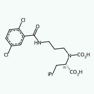 CC(C)C[C@@H](C(=O)O)N(CCCNC(=O)c1cc(Cl)ccc1Cl)C(=O)O